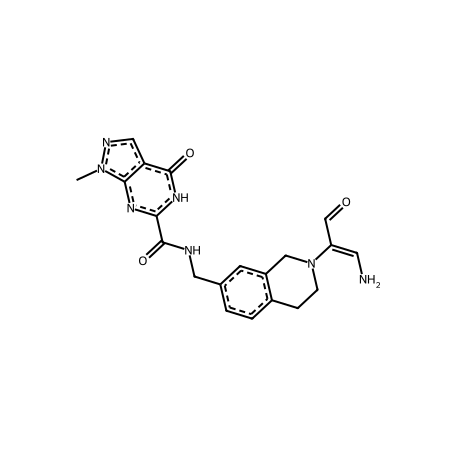 Cn1ncc2c(=O)[nH]c(C(=O)NCc3ccc4c(c3)CN(/C(C=O)=C\N)CC4)nc21